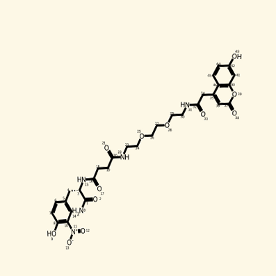 NC(=O)[C@H](Cc1ccc(O)c([N+](=O)[O-])c1)NC(=O)CCC(=O)NCCOCCOCCNC(=O)Cc1cc(=O)oc2cc(O)ccc12